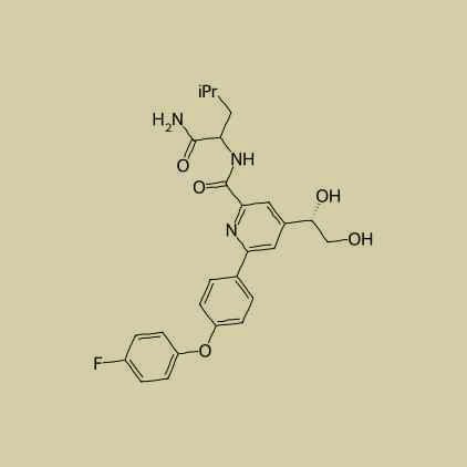 CC(C)CC(NC(=O)c1cc([C@H](O)CO)cc(-c2ccc(Oc3ccc(F)cc3)cc2)n1)C(N)=O